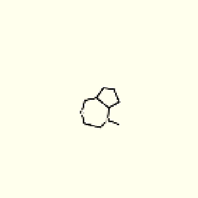 CN1CCOCC2CCCC21